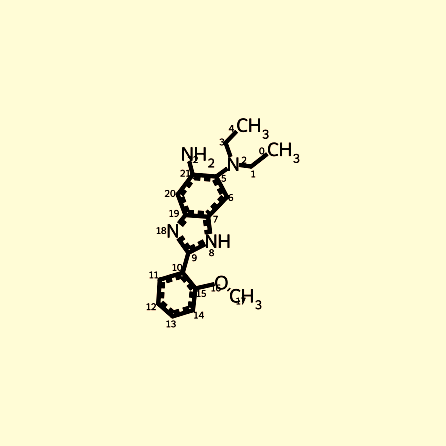 CCN(CC)c1cc2[nH]c(-c3ccccc3OC)nc2cc1N